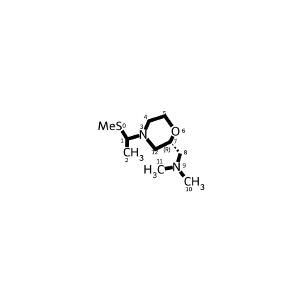 CSC(C)N1CCO[C@H](CN(C)C)C1